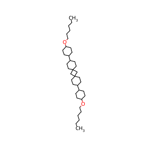 CCCCCCOC1CCC(C2CCC3(CC2)CC2(CCC(C4CCC(OCCCCCC)CC4)CC2)C3)CC1